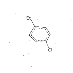 [CH2]Cc1ccc(Cl)cc1